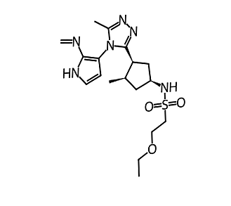 C=Nc1[nH]ccc1-n1c(C)nnc1[C@H]1C[C@@H](NS(=O)(=O)CCOCC)C[C@H]1C